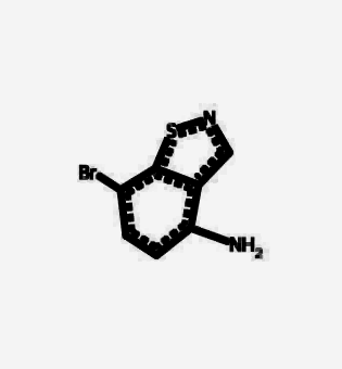 Nc1ccc(Br)c2sncc12